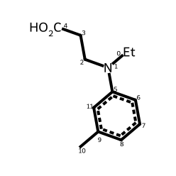 CCN(CCC(=O)O)c1cccc(C)c1